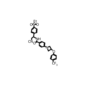 CCS(=O)(=O)c1ccc(C(CC#N)NC(=O)c2ccc(N3CC(Oc4ccc(C(F)(F)F)cc4)C3)cc2)cc1